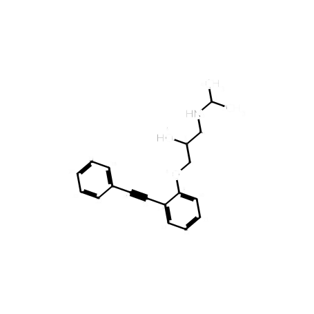 CC(C)NCC(O)COc1ccccc1C#Cc1ccccc1